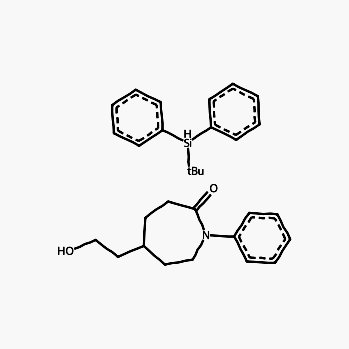 CC(C)(C)[SiH](c1ccccc1)c1ccccc1.O=C1CCC(CCO)CCN1c1ccccc1